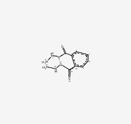 NNOC(=O)c1ccccc1C(=O)ONN